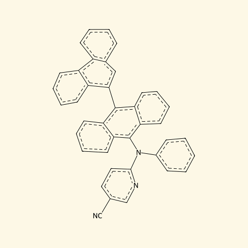 N#Cc1ccc(N(c2ccccc2)c2c3ccccc3c(-c3cc4ccccc4c4ccccc34)c3ccccc23)nc1